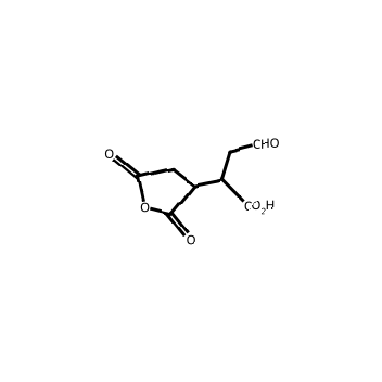 O=CCC(C(=O)O)C1CC(=O)OC1=O